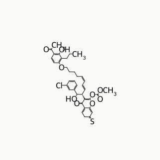 CCCc1c(OCCCC/C=C\C=C\[C@@H](c2c(OC(=O)OC)oc3c(c2=O)=CCC(=S)C=3)[C@@H](O)c2cccc(Cl)c2)ccc(C(C)=O)c1O